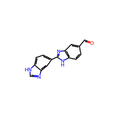 O=Cc1ccc2[nH]c(-c3ccc4[nH]cnc4c3)nc2c1